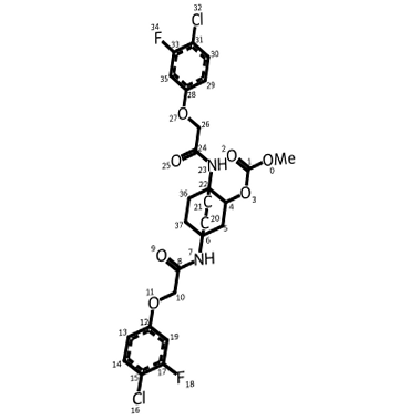 COC(=O)OC1CC2(NC(=O)COc3ccc(Cl)c(F)c3)CCC1(NC(=O)COc1ccc(Cl)c(F)c1)CC2